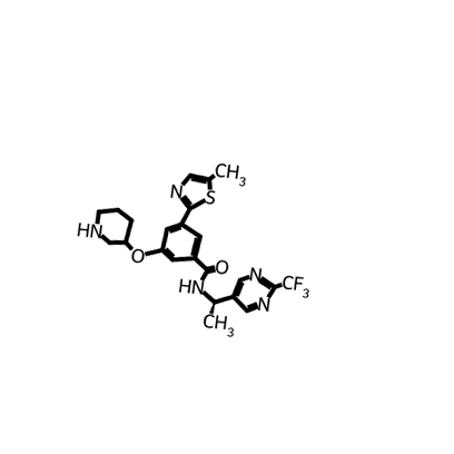 Cc1cnc(-c2cc(OC3CCCNC3)cc(C(=O)N[C@H](C)c3cnc(C(F)(F)F)nc3)c2)s1